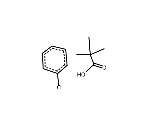 CC(C)(C)C(=O)O.Clc1ccccc1